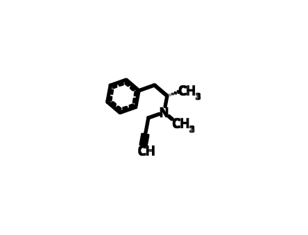 C#CCN(C)[C@@H](C)Cc1ccccc1